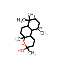 C[C@H]1CCC(C)(C)C2CCC3(C)OC(C)(O)CCC3C21